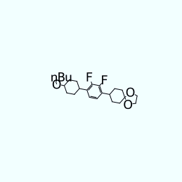 CCCCOC1CCC(c2ccc(C3CCC4(CC3)OCCO4)c(F)c2F)CC1